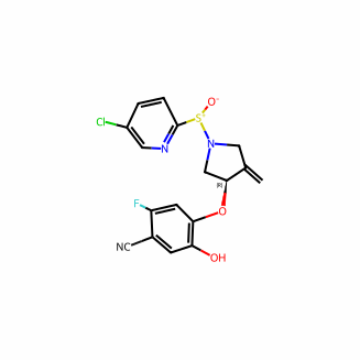 C=C1CN([S+]([O-])c2ccc(Cl)cn2)C[C@@H]1Oc1cc(F)c(C#N)cc1O